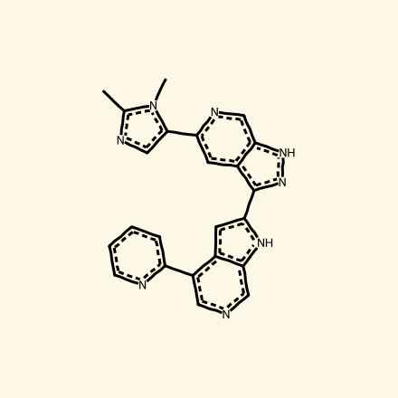 Cc1ncc(-c2cc3c(-c4cc5c(-c6ccccn6)cncc5[nH]4)n[nH]c3cn2)n1C